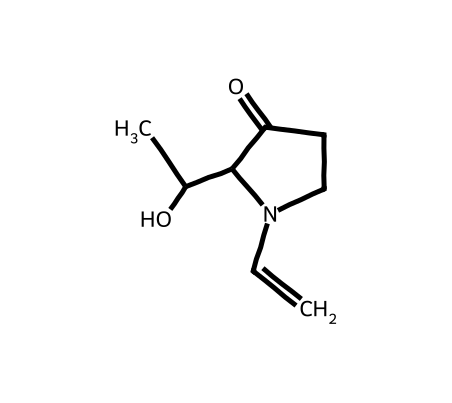 C=CN1CCC(=O)C1C(C)O